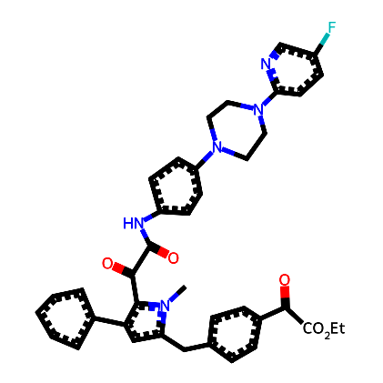 CCOC(=O)C(=O)c1ccc(Cc2cc(-c3ccccc3)c(C(=O)C(=O)Nc3ccc(N4CCN(c5ccc(F)cn5)CC4)cc3)n2C)cc1